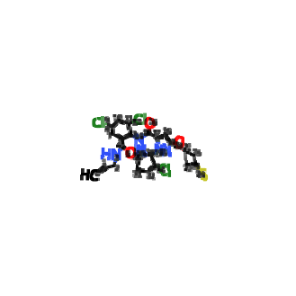 C#CCNC(=O)c1cc(Cl)cc(Cl)c1NC(=O)c1cc(OC2CC(=S)C2)nn1-c1ncccc1Cl